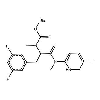 CC1=CC=C(N(C)C(=O)C(Cc2cc(F)cc(F)c2)N(C)C(=O)OC(C)(C)C)NC1